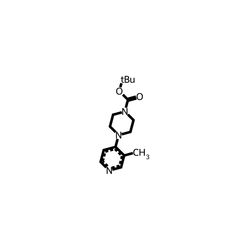 Cc1cnccc1N1CCN(C(=O)OC(C)(C)C)CC1